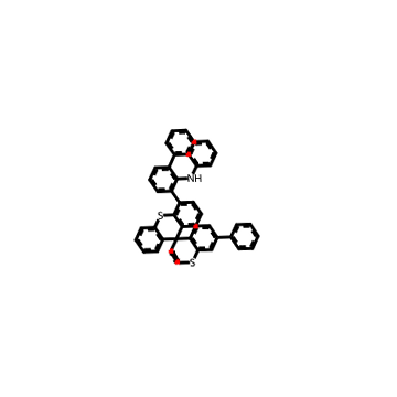 c1ccc(Nc2c(-c3ccccc3)cccc2-c2cccc3c2Sc2ccccc2C32c3ccccc3Sc3cc(-c4ccccc4)ccc32)cc1